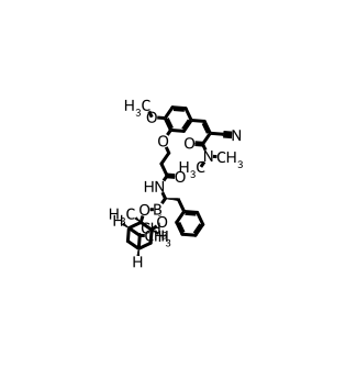 COc1ccc(C=C(C#N)C(=O)N(C)C)cc1OCCC(=O)N[C@@H](Cc1ccccc1)B1O[C@@H]2C[C@@H]3C[C@@H](C3(C)C)[C@]2(C)O1